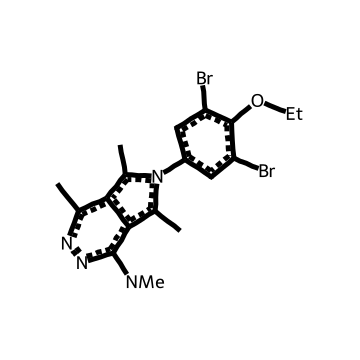 CCOc1c(Br)cc(-n2c(C)c3c(C)nnc(NC)c3c2C)cc1Br